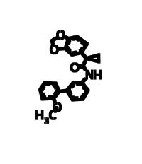 COc1ccccc1-c1cccc(NC(=O)C2(c3ccc4c(c3)OCO4)CC2)c1